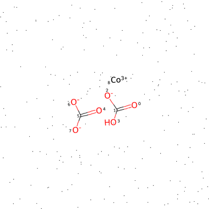 O=C([O-])O.O=C([O-])[O-].[Co+3]